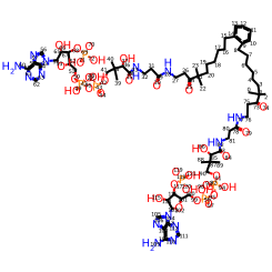 CC(C)(CCCCCCc1ccccc1CCCCCCC(C)(C)C(=O)CCNC(=O)CCNC(=O)C(O)C(C)(C)COP(=O)(O)OP(=O)(O)OCC1OC(n2cnc3c(N)ncnc32)C(O)C1OP(=O)(O)O)C(=O)CCNC(=O)CCNC(=O)C(O)C(C)(C)COP(=O)(O)OP(=O)(O)OCC1OC(n2cnc3c(N)ncnc32)C(O)C1OP(=O)(O)O